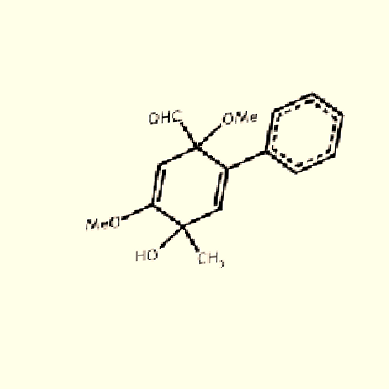 COC1=CC(C=O)(OC)C(c2ccccc2)=CC1(C)O